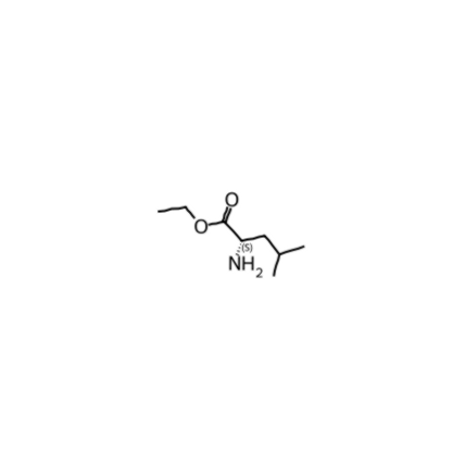 CCOC(=O)[C@@H](N)CC(C)C